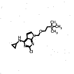 C[Si](C)(C)CCOCn1ccc2c(NC3CC3)nc(Cl)nc21